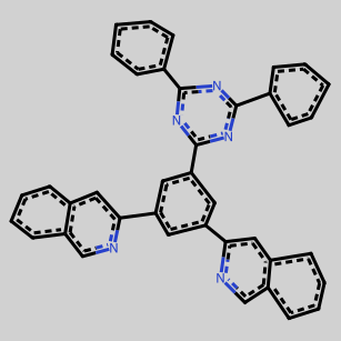 c1ccc(-c2nc(-c3ccccc3)nc(-c3cc(-c4cc5ccccc5cn4)cc(-c4cc5ccccc5cn4)c3)n2)cc1